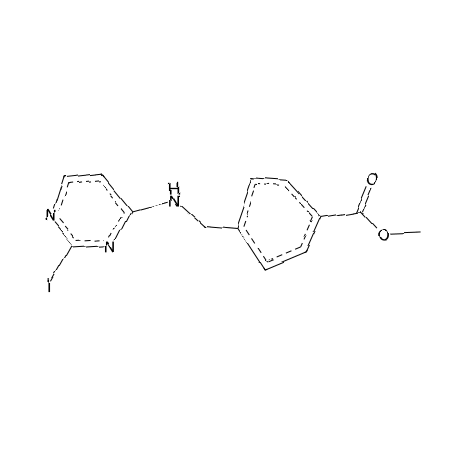 COC(=O)c1ccc(CNc2ccnc(I)n2)cc1